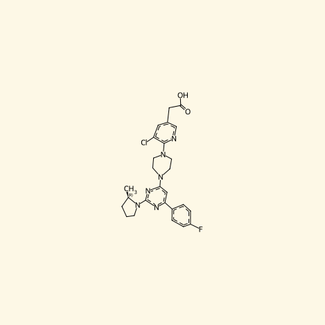 C[C@@H]1CCCN1c1nc(-c2ccc(F)cc2)cc(N2CCN(c3ncc(CC(=O)O)cc3Cl)CC2)n1